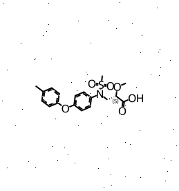 CO[C@@H](CN(c1ccc(Oc2ccc(C)cc2)cc1)S(C)(=O)=O)C(=O)O